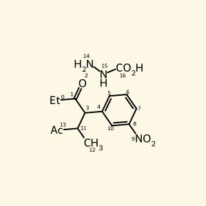 CCC(=O)C(c1cccc([N+](=O)[O-])c1)C(C)C(C)=O.NNC(=O)O